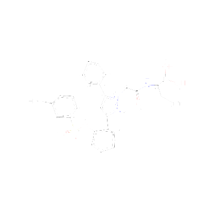 Cc1cccc(S(=O)(=O)Oc2ccccc2-c2cc(-c3ccccc3)n(CC(=O)NC(CC(C)C)B(O)O)n2)c1